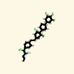 C/C=C/C(F)=C(\F)c1ccc(CCc2cc(F)c(-c3ccc(-c4cc(F)c(F)c(F)c4)cc3)c(F)c2)cc1